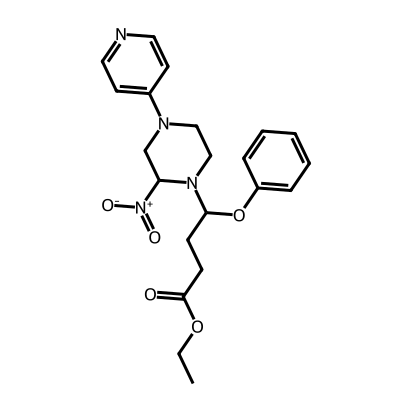 CCOC(=O)CCC(Oc1ccccc1)N1CCN(c2ccncc2)CC1[N+](=O)[O-]